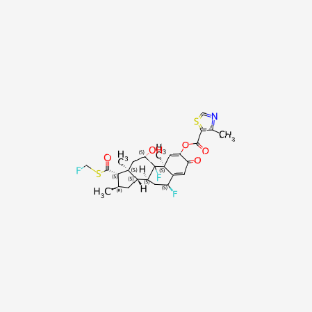 Cc1ncsc1C(=O)OC1=C[C@@]2(C)C(=CC1=O)[C@@H](F)C[C@H]1[C@@H]3C[C@@H](C)[C@H](C(=O)SCF)[C@@]3(C)C[C@H](O)C12F